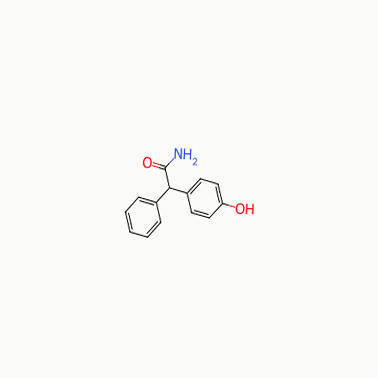 NC(=O)C(c1ccccc1)c1ccc(O)cc1